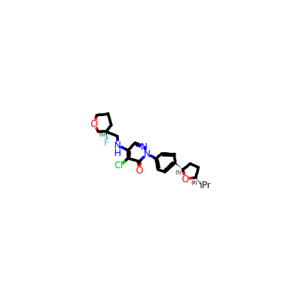 CC(C)[C@H]1CC[C@@H](c2ccc(-n3ncc(NC[C@@]4(F)CCCOC4)c(Cl)c3=O)cc2)O1